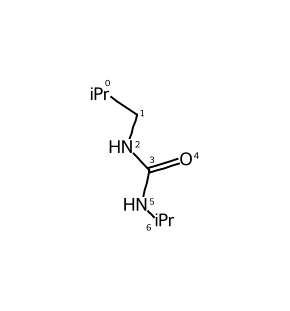 CC(C)CNC(=O)NC(C)C